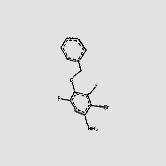 Nc1cc(F)c(OCc2ccccc2)c(F)c1Br